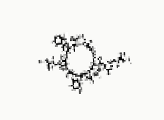 CC(=O)N[C@@H](CCCNC(=N)N)C(=O)N[C@H]1CCCNC(=O)CCC(C(N)=O)NC(=O)[C@H](Cc2c[nH]c3ccccc23)NC(=O)[C@H](CCCNC(=N)N)NC(=O)[C@@H](Cc2ccc(F)cc2)NC(=O)[C@H](CC(N)=O)NC1=O